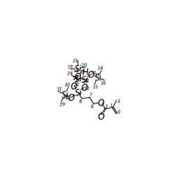 C=C(C)C(=O)OCCC[Si](O[SiH](O[Si](C)(C)C)O[Si](C)(C)C)(O[Si](C)(C)C)O[Si](C)(C)C